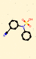 N#Cc1cccc(N(c2ccccc2)S(=O)(=O)O)c1